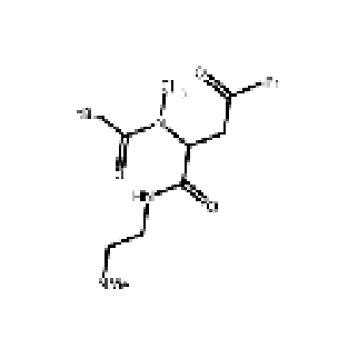 CNCCNC(=O)C(CC(=O)C(C)C)N(C)C(=O)C(C)(C)C